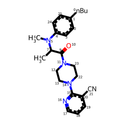 CCCCc1ccc(N(C)C(C)C(=O)N2CCN(c3ncccc3C#N)CC2)cc1